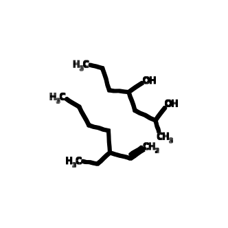 C=CC(CC)CCCC.CCCC(O)CC(C)O